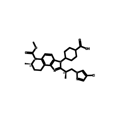 COC(=O)N1c2ccc3c(nc([C@H](C)Cn4cc(Cl)cn4)n3C3CCC(C(=O)O)CC3)c2CC[C@@H]1C